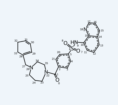 O=C(c1ccc(S(=O)(=O)Nc2cccc3cccnc23)cc1)N1CCCN(CC2=CC=CCC2)CC1